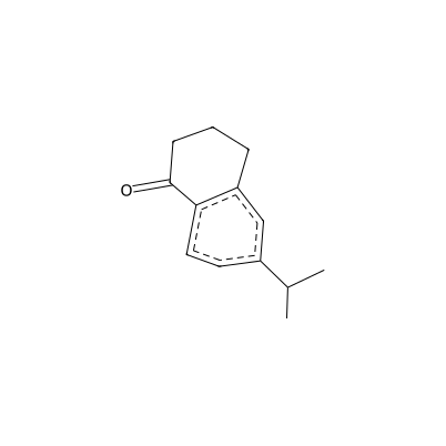 CC(C)c1ccc2c(c1)CCCC2=O